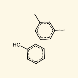 Cc1cccc(C)c1.Oc1ccccc1